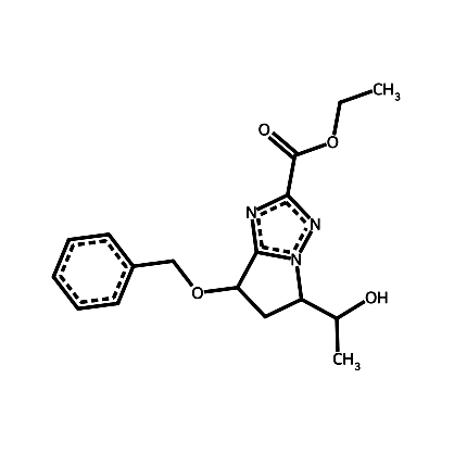 CCOC(=O)c1nc2n(n1)C(C(C)O)CC2OCc1ccccc1